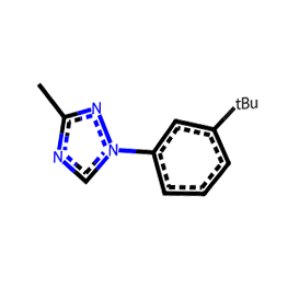 Cc1ncn(-c2cccc(C(C)(C)C)c2)n1